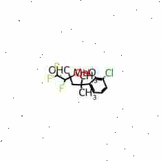 COc1c(Cl)cccc1C(C)(C)CC(O)(C=O)C(F)C(F)F